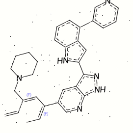 C=C/C(=C\C(=C/C)c1cnc2[nH]nc(-c3cc4c(-c5cccnc5)cccc4[nH]3)c2c1)CN1CCCCC1